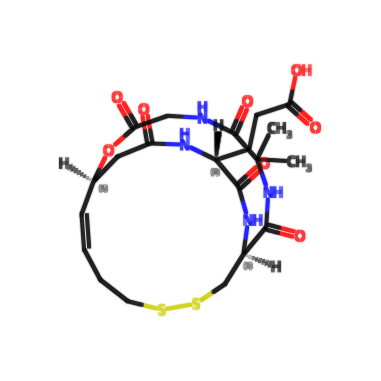 CC1(C)NC(=O)[C@H]2CSSCCC=C[C@H](CC(=O)N[C@H](CCC(=O)O)C(=O)N2)OC(=O)CNC1=O